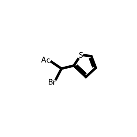 CC(=O)C(Br)c1cccs1